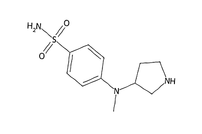 CN(c1ccc(S(N)(=O)=O)cc1)C1CCNC1